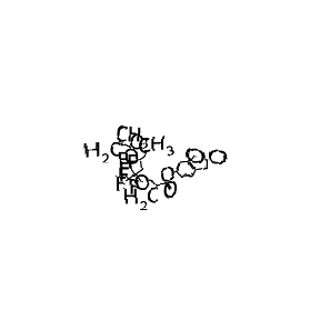 C=C(C)C(=O)OC(CC)CC(OCC(=C)C(=O)Oc1ccc2c(c1)OC(=O)C2)(C(F)(F)F)C(F)(F)F